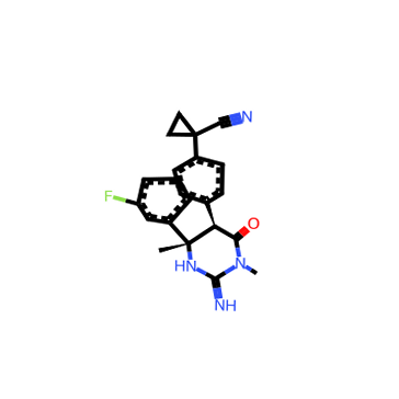 CN1C(=N)N[C@](C)(c2cccc(F)c2)[C@@H](c2ccc(C3(C#N)CC3)cc2)C1=O